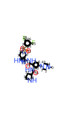 CN1CCN(c2ccc(C(=O)Nc3n[nH]c4c3CN(S(=O)(=O)c3cc(F)cc(F)c3)CC4)c(NC(=O)C3CCCNC3)c2)CC1